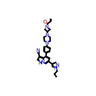 C=CC(=O)N1CC(N2CCN(c3ccc(-c4cc(-c5cnn(CCC)c5)cn5ncc(C#N)c45)cc3)CC2)C1